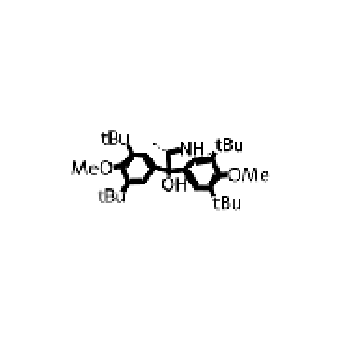 COc1c(C(C)(C)C)cc(C(O)(c2cc(C(C)(C)C)c(OC)c(C(C)(C)C)c2)[C@H](C)N)cc1C(C)(C)C